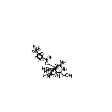 N=C1NC2[C@H](CO)NC(=N)N3C[C@H](OC(=O)c4ccc(C(F)(F)F)o4)C(O)(O)[C@]23N1